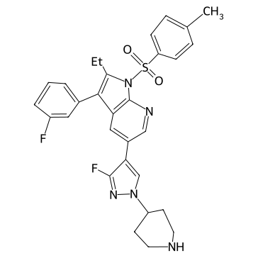 CCc1c(-c2cccc(F)c2)c2cc(-c3cn(C4CCNCC4)nc3F)cnc2n1S(=O)(=O)c1ccc(C)cc1